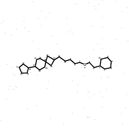 C1CCC(CCOCCCCCC2CC3(CCC(C4CCCC4)CC3)C2)CC1